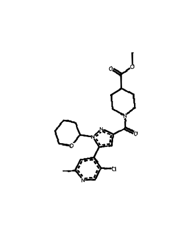 COC(=O)C1CCN(C(=O)c2cc(-c3cc(C)ncc3Cl)n(C3CCCCO3)n2)CC1